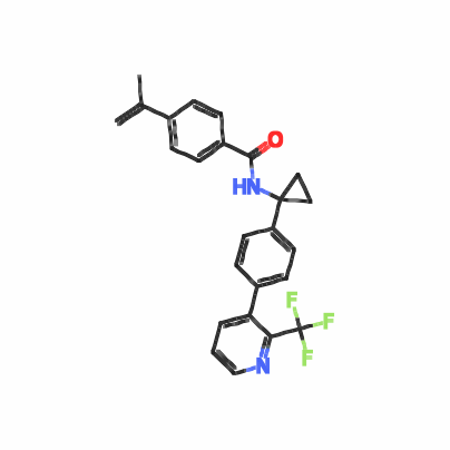 C=C(C)c1ccc(C(=O)NC2(c3ccc(-c4cccnc4C(F)(F)F)cc3)CC2)cc1